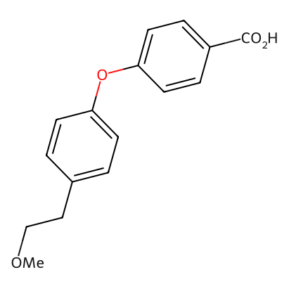 COCCc1ccc(Oc2ccc(C(=O)O)cc2)cc1